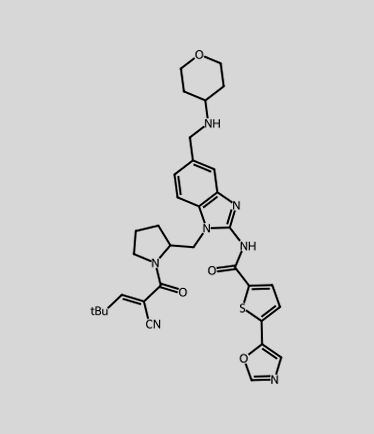 CC(C)(C)C=C(C#N)C(=O)N1CCCC1Cn1c(NC(=O)c2ccc(-c3cnco3)s2)nc2cc(CNC3CCOCC3)ccc21